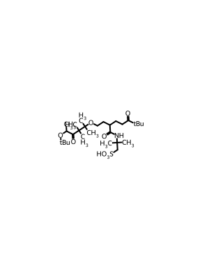 CC(OC(C)(C)C)C(=O)C(C)(C)C(C)(C)OCCC(CCC(=O)C(C)(C)C)C(=O)NC(C)(C)CS(=O)(=O)O